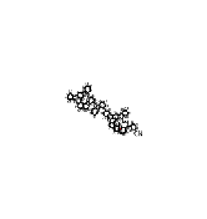 N#Cc1cccc(-c2nc(-n3c4ccccc4c4cc5c6cc(-c7cccc8c7c7ccccc7n8-c7ccc(-n8c9ccccc9c9cc%10c%11ccccc%11n%11c%12ccc%13ccccc%13c%12c(c98)c%10%11)nc7)ccc6n6c7ccc8ccccc8c7c(c43)c56)nc3ncccc23)c1